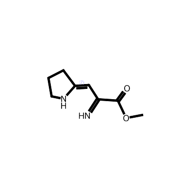 COC(=O)C(=N)/C=C1/CCCN1